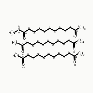 CC(=O)CCCCCCCCCC(=O)NN.CC(=O)CCCCCCCCCC(N)=O.CC(=O)CCCCCCCCCC(N)=O